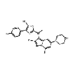 CCc1nn2c(C)cc(N3CCNCC3)cc2c1N(C)c1nc(-c2ccc(F)cc2)c(C#N)s1